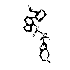 CN1CCc2sc(S(=O)(=O)NC(=O)Nc3c(-c4cccnc4C#N)ccc4c3CCC4)cc2C1